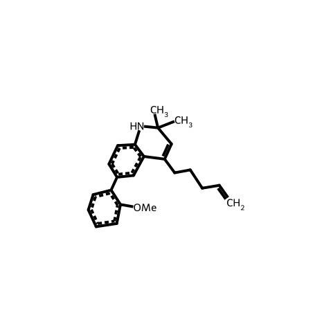 C=CCCCC1=CC(C)(C)Nc2ccc(-c3ccccc3OC)cc21